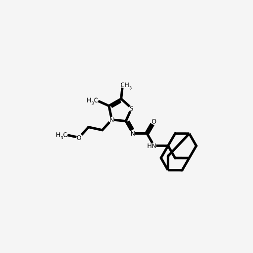 COCCn1c(C)c(C)s/c1=N\C(=O)NC12CC3CC(CC(C3)C1)C2